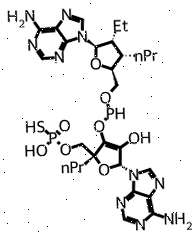 CCC[C@H]1[C@@H](CC)[C@H](n2cnc3c(N)ncnc32)O[C@@H]1COPOC1=C(O)[C@H](n2cnc3c(N)ncnc32)O[C@]1(CCC)COP(=O)(O)S